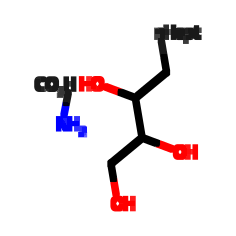 CCCCCCCCC(O)C(O)CO.NC(=O)O